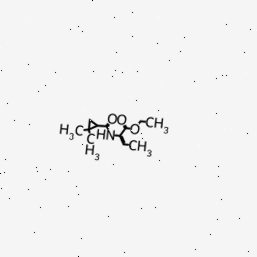 CC=C(NC(=O)C1CC1(C)C)C(=O)OCC